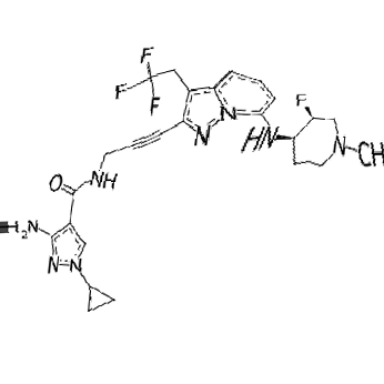 CN1CC[C@@H](Nc2cccc3c(CC(F)(F)F)c(C#CCNC(=O)c4cn(C5CC5)nc4N)nn23)[C@@H](F)C1